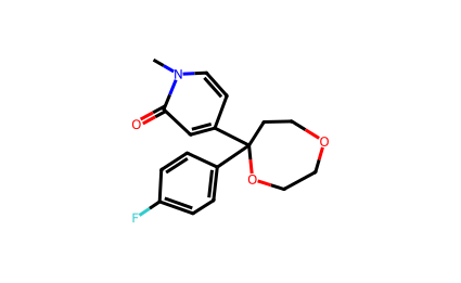 Cn1ccc(C2(c3ccc(F)cc3)CCOCCO2)cc1=O